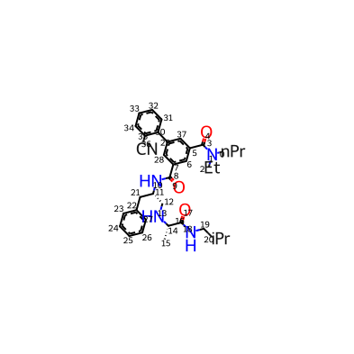 CCCN(CC)C(=O)c1cc(C(=O)N[C@H](CN[C@@H](C)C(=O)NCC(C)C)Cc2ccccc2)cc(-c2ccccc2C#N)c1